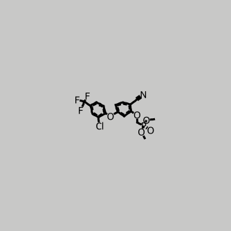 COP(=O)(COc1cc(Oc2ccc(C(F)(F)F)cc2Cl)ccc1C#N)OC